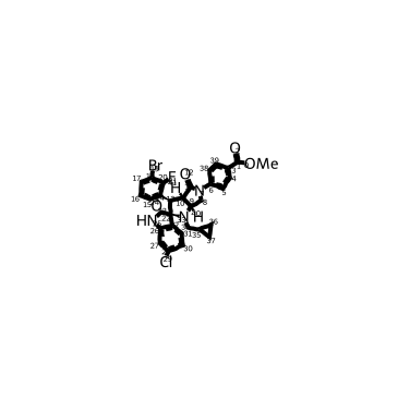 COC(=O)c1ccc(N2C[C@H]3[C@@H](C2=O)[C@H](c2cccc(Br)c2F)[C@]2(C(=O)Nc4cc(Cl)ccc42)N3CC2CC2)cc1